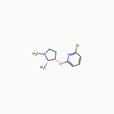 C[C@H]1[C@@H](Oc2cccc(Br)n2)CCN1C